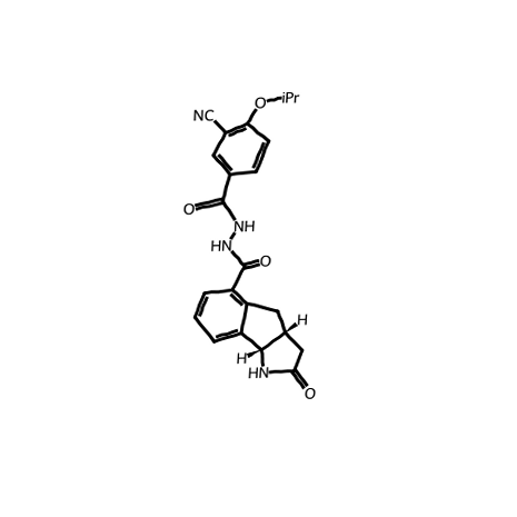 CC(C)Oc1ccc(C(=O)NNC(=O)c2cccc3c2C[C@@H]2CC(=O)N[C@H]32)cc1C#N